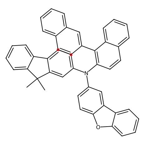 CC1(C)c2ccccc2-c2ccc(N(c3ccc4oc5ccccc5c4c3)c3ccc4ccccc4c3-c3ccc4ccccc4c3)cc21